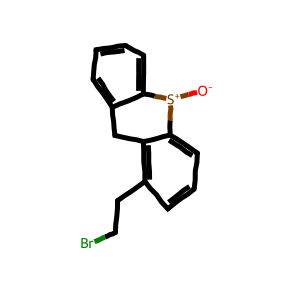 [O-][S+]1c2ccccc2Cc2c(CCBr)cccc21